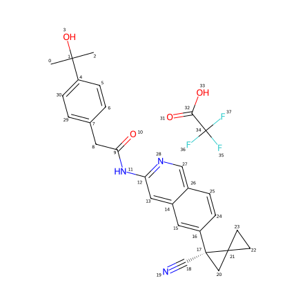 CC(C)(O)c1ccc(CC(=O)Nc2cc3cc([C@]4(C#N)CC45CC5)ccc3cn2)cc1.O=C(O)C(F)(F)F